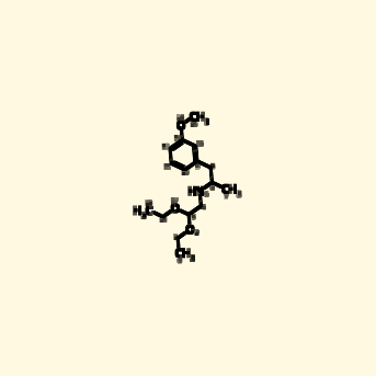 CCOC(CNC(C)Cc1cccc(OC)c1)OCC